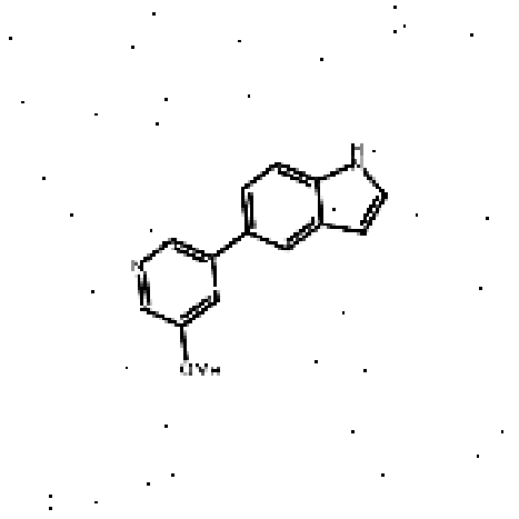 COc1cncc(-c2ccc3[nH]ccc3c2)c1